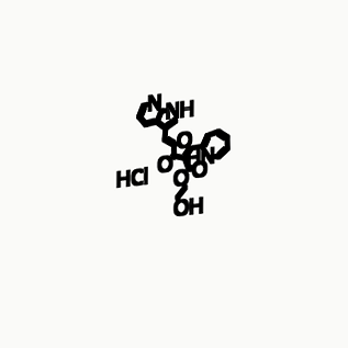 Cl.O=C(OCCO)C1=C(C2=CC=CC=CN2)OC(=Cc2c[nH]c3ncccc23)C1=O